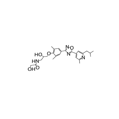 Cc1cc(-c2nc(-c3cc(C)c(OCC(O)CNC(=O)CO)c(C)c3)no2)cc(CC(C)C)n1